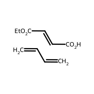 C=CC=C.CCOC(=O)C=CC(=O)O